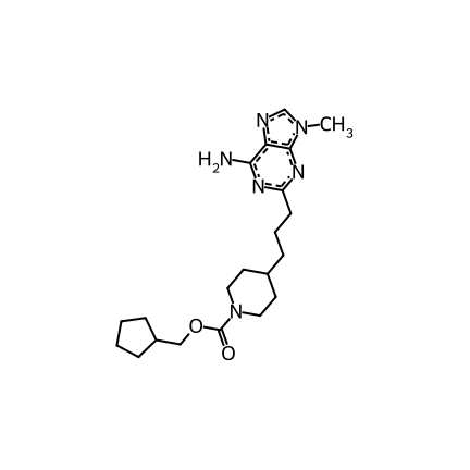 Cn1cnc2c(N)nc(CCCC3CCN(C(=O)OCC4CCCC4)CC3)nc21